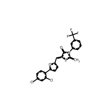 C=c1s/c(=C\c2ccc(-c3ccc(Cl)cc3Cl)o2)c(=O)n1-c1cccc(C(F)(F)F)c1